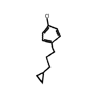 Clc1ccc(CC[CH]C2CC2)cc1